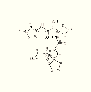 Cn1ccc(NC(=O)C(O)C2(NC(=O)[C@@H](CC3(F)CCCC3)NC(=O)OC(C)(C)C)CCC2)n1